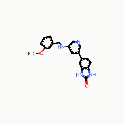 O=c1[nH]c2ccc(-c3cncc(NCc4cccc(OC(F)(F)F)c4)c3)cc2[nH]1